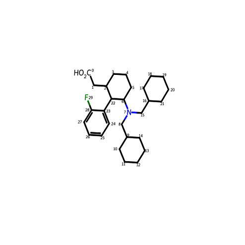 O=C(O)CC1CCCC(N(CC2CCCCC2)CC2CCCCC2)C1c1ccccc1F